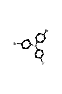 Brc1cc[c]([Sb]([c]2ccc(Br)cc2)[c]2ccc(Br)cc2)cc1